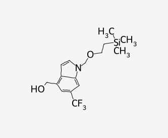 C[Si](C)(C)CCOCn1ccc2c(CO)cc(C(F)(F)F)cc21